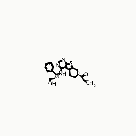 C=CC(=O)N1CCc2c(sc3ncnc(N[C@H](CCO)c4ccccc4)c23)C1